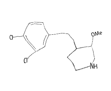 COC1CNCCC1Cc1ccc(Cl)c(Cl)c1